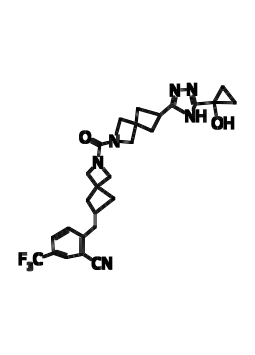 N#Cc1cc(C(F)(F)F)ccc1CC1CC2(C1)CN(C(=O)N1CC3(CC(c4nnc(C5(O)CC5)[nH]4)C3)C1)C2